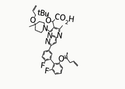 C=CCOC1(C)CCN(c2c(C(OC(C)(C)C)C(=O)O)c(C)nc3cc(-c4ccc(F)c(-c5c(F)cccc5O[C@@H](C)CC=C)c4)nn23)CC1